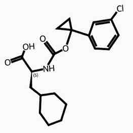 O=C(N[C@@H](CC1CCCCC1)C(=O)O)OC1(c2cccc(Cl)c2)CC1